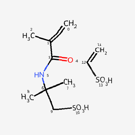 C=C(C)C(=O)NC(C)(C)CS(=O)(=O)O.C=CS(=O)(=O)O